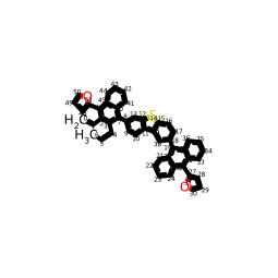 C=Cc1c(/C=C\C)c(-c2ccc3c(c2)sc2ccc(-c4c5ccccc5c(-c5ccco5)c5ccccc45)cc23)c2ccccc2c1-c1ccco1